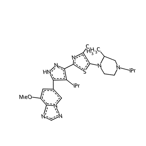 COc1cc(-c2[nH]nc(-c3nc(C)c(N4CCN(C(C)C)CC4C)s3)c2C(C)C)cn2ncnc12